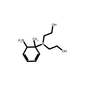 CC1(N(CCO)CCO)C=CC=CC1N